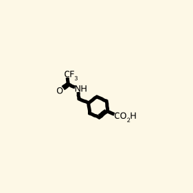 O=C(O)C1=CCC(CNC(=O)C(F)(F)F)CC1